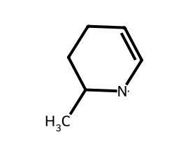 CC1CCC=C[N]1